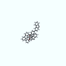 c1ccc2c(c1)-c1ccccc1C21c2ccccc2-c2cccc(N(c3ccc(-c4ccc5sc6ccccc6c5c4)cc3)c3cccc4sc5ccccc5c34)c21